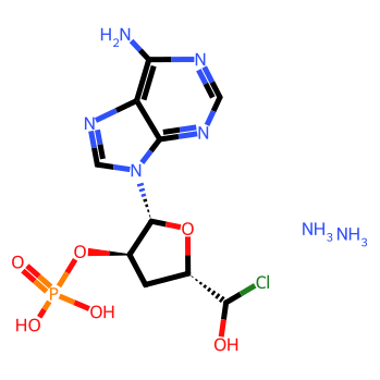 N.N.Nc1ncnc2c1ncn2[C@@H]1O[C@H](C(O)Cl)C[C@H]1OP(=O)(O)O